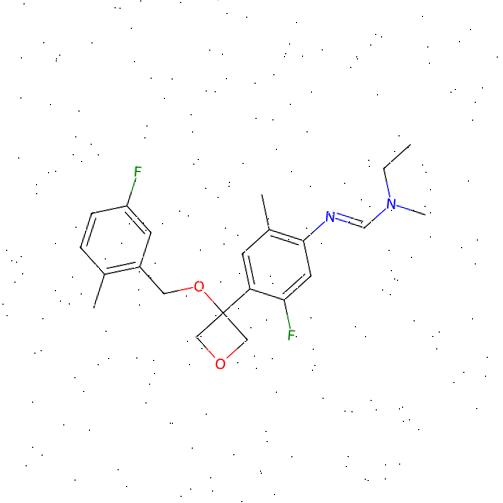 CCN(C)C=Nc1cc(F)c(C2(OCc3cc(F)ccc3C)COC2)cc1C